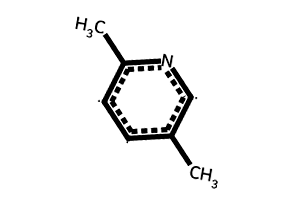 Cc1[c][c]c(C)n[c]1